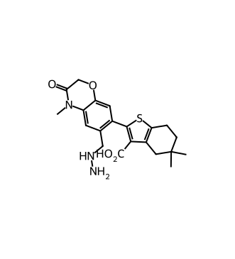 CN1C(=O)COc2cc(-c3sc4c(c3C(=O)O)CC(C)(C)CC4)c(CNN)cc21